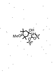 CON1C(C)(C)CC(O)([SiH2]C(O[Si](C)(C)C)O[Si](C)(C)C)CC1(C)C